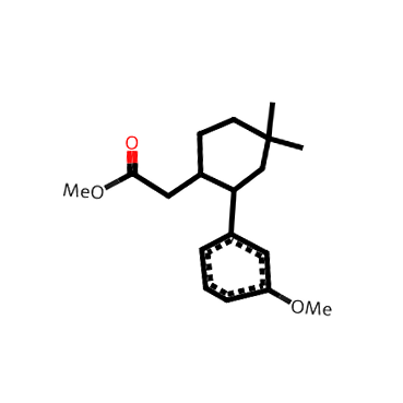 COC(=O)CC1CCC(C)(C)CC1c1cccc(OC)c1